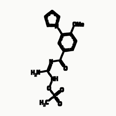 COc1ccc(C(=O)N=C(N)NOS(C)(=O)=O)cc1-n1cccc1